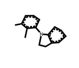 Cc1cccc(N2CCc3ccccc32)c1C